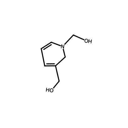 OCC1=CC=CN(CO)C1